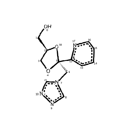 OC[C@@H]1CO[C@](Cn2cnnc2)(c2ccccn2)O1